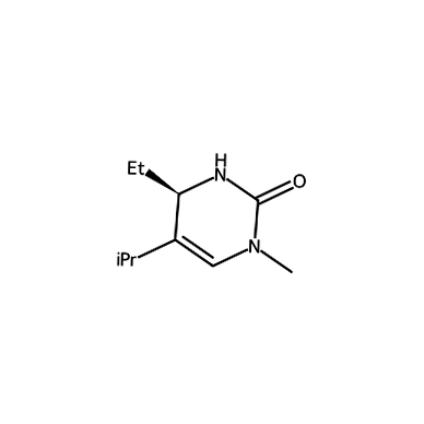 CC[C@H]1NC(=O)N(C)C=C1C(C)C